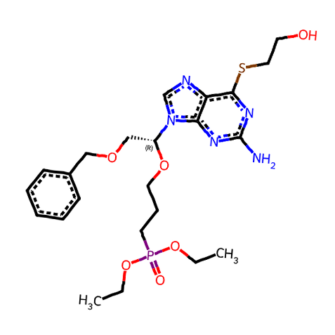 CCOP(=O)(CCCO[C@H](COCc1ccccc1)n1cnc2c(SCCO)nc(N)nc21)OCC